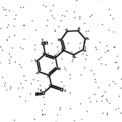 COC(=O)c1ccc(O)c(C2=CCCCCC2)c1